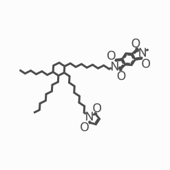 CCCCCCCCC1C(CCCCCC)CCC(CCCCCCCCn2c(=O)c3cc4c(=O)n(C)c(=O)c4cc3c2=O)C1CCCCCCCCN1C(=O)C=CC1=O